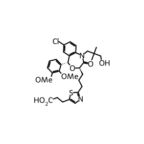 COc1cccc([C@H]2O[C@H](CCCc3ncc(CCC(=O)O)s3)C(=O)N(CC(C)(C)CO)c3ccc(Cl)cc32)c1OC